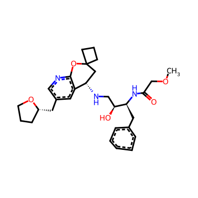 COCC(=O)N[C@@H](Cc1ccccc1)[C@@H](O)CN[C@H]1CC2(CCC2)Oc2ncc(C[C@@H]3CCCO3)cc21